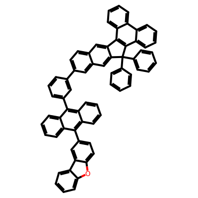 c1ccc(C2(c3ccccc3)c3cc4cc(-c5cccc(-c6c7ccccc7c(-c7ccc8oc9ccccc9c8c7)c7ccccc67)c5)ccc4cc3-c3c2c2ccccc2c2ccccc32)cc1